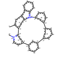 Cc1cc2c3ccccc3n3c2cc1-c1cc(cc[n+]1C)-c1cccc(c1)-c1cccc(c1)-c1cccc-3c1